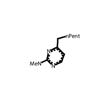 CCCCCCc1ccnc(NC)n1